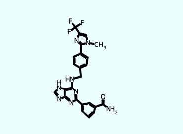 Cn1cc(C(F)(F)F)nc1-c1ccc(CNc2nc(-c3cccc(C(N)=O)c3)nc3nc[nH]c23)cc1